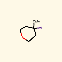 COC1(I)CCOCC1